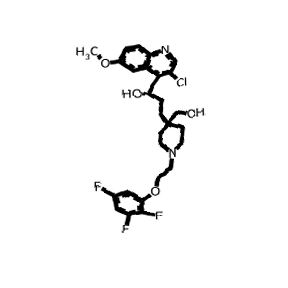 COc1ccc2ncc(Cl)c([C@H](O)CCC3(CO)CCN(CCOc4cc(F)cc(F)c4F)CC3)c2c1